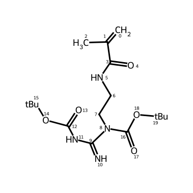 C=C(C)C(=O)NCCN(C(=N)NC(=O)OC(C)(C)C)C(=O)OC(C)(C)C